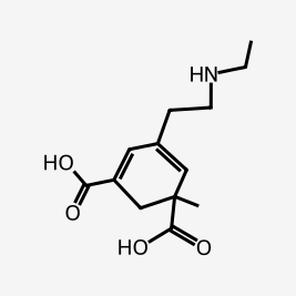 CCNCCC1=CC(C)(C(=O)O)CC(C(=O)O)=C1